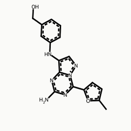 Cc1ccc(-c2nc(N)nc3c(Nc4cccc(CO)c4)cnn23)o1